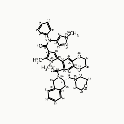 Cc1c(C(=O)N(c2cc[c]cc2)c2cnn(C)c2)cc(-c2cc3c(cc2C(=O)N2Cc4ccccc4C[C@H]2CN2CCOCC2)OCCO3)n1C